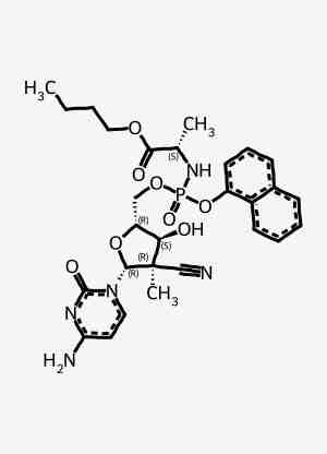 CCCCOC(=O)[C@H](C)NP(=O)(OC[C@H]1O[C@@H](n2ccc(N)nc2=O)[C@](C)(C#N)[C@@H]1O)Oc1cccc2ccccc12